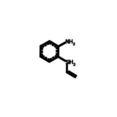 C=C[SiH2]c1ccccc1N